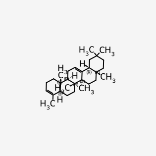 CC1=CCC[C@]2(C)[C@H]3CC=C4[C@@H]5CC(C)(C)CC[C@]5(C)CC[C@@]4(C)[C@]3(C)CC[C@@H]12